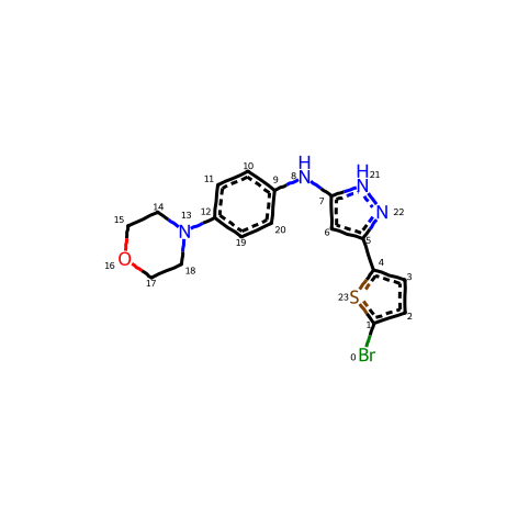 Brc1ccc(-c2cc(Nc3ccc(N4CCOCC4)cc3)[nH]n2)s1